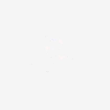 COc1cc(O)c(C2Oc3ccccc3C(=O)/C2=C\NC(C)C)cc1OC